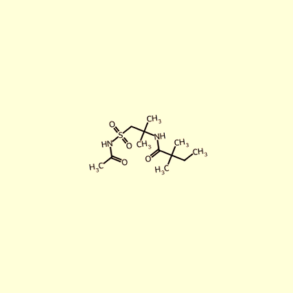 CCC(C)(C)C(=O)NC(C)(C)CS(=O)(=O)NC(C)=O